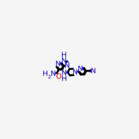 N#Cc1ccc(N2CCC(Nc3c(C(N)=O)cnc4[nH]cnc34)CC2)nc1